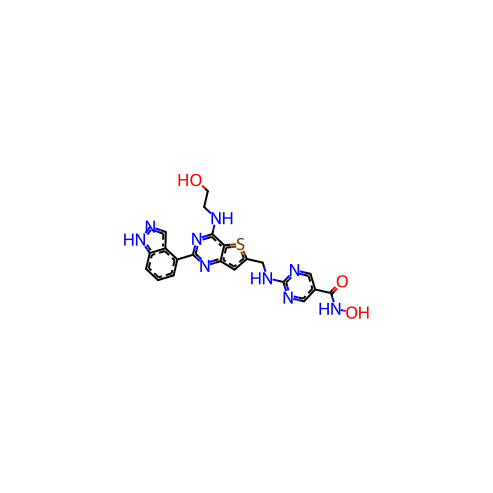 O=C(NO)c1cnc(NCc2cc3nc(-c4cccc5[nH]ncc45)nc(NCCO)c3s2)nc1